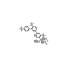 BC(B)(c1cnc(-c2ccc(S(C)(C)C)c(-c3ccc(S(C)(C)C)cc3)c2)cc1S(C)(C)C)C(C)(C)C